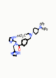 CCCN(CCC)[C@H]1CC[C@H](N(CC(=O)O)Cc2ccc(C(=O)N(Cc3ncc[nH]3)Cc3ncc[nH]3)cc2)CC1